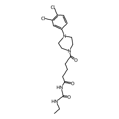 CCNC(=O)NC(=O)CCCC(=O)N1CCN(c2ccc(Cl)c(Cl)c2)CC1